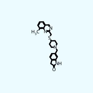 Cc1cccc2cnc(CSC3CCN(Cc4ccc5c(c4)NC(=O)C5)CC3)nc12